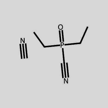 C#N.CCP(=O)(C#N)CC